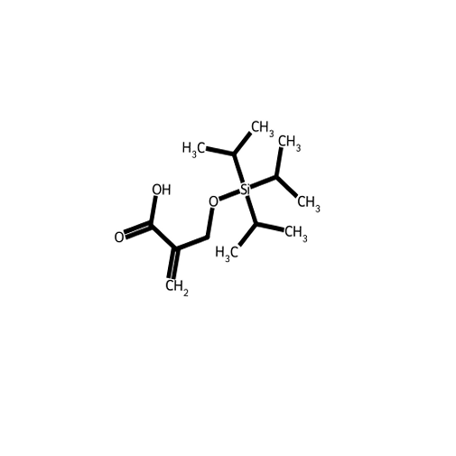 C=C(CO[Si](C(C)C)(C(C)C)C(C)C)C(=O)O